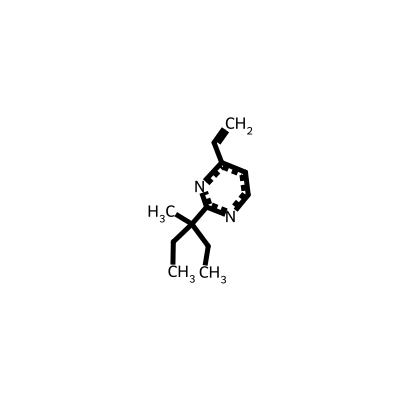 C=Cc1ccnc(C(C)(CC)CC)n1